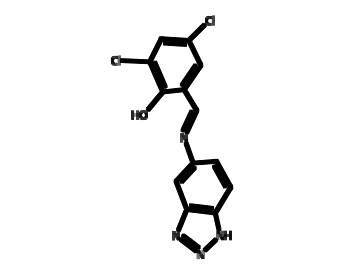 Oc1c(Cl)cc(Cl)cc1C=Nc1ccc2[nH]nnc2c1